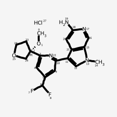 CO[C@@]1(c2cc(C(F)F)cc(-c3cn(C)c4cnc(N)cc34)n2)CCOC1.Cl